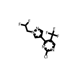 FC(F)Cn1cc(-c2nc(Cl)ncc2C(F)(F)F)cn1